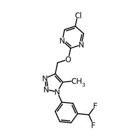 Cc1c(COc2ncc(Cl)cn2)nnn1-c1cccc(C(F)F)c1